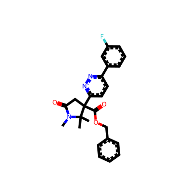 CN1C(=O)CC(C(=O)OCc2ccccc2)(c2ccc(-c3cccc(F)c3)nn2)C1(C)C